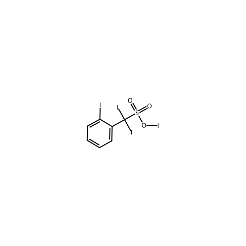 O=S(=O)(OI)C(I)(I)c1ccccc1I